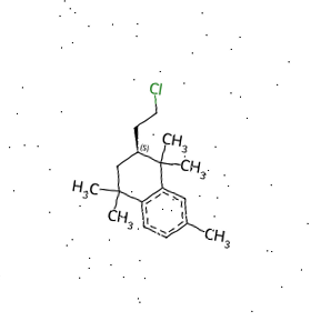 Cc1ccc2c(c1)C(C)(C)[C@H](CCCl)CC2(C)C